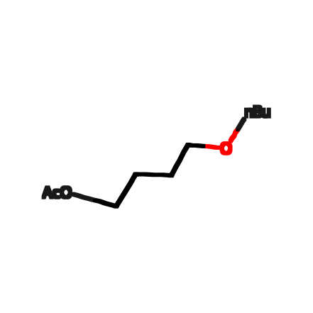 CCCCOCCCCOC(C)=O